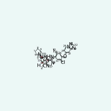 C=CC(=O)N1CC2CCC(C1)N2c1ccc2ncnc(Nc3cc(Cl)c(Oc4ccn5ncnc5c4)cc3F)c2n1